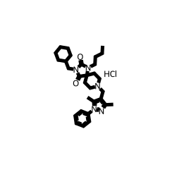 CCCCN1C(=O)N(CC2CCCCC2)C(=O)C12CCN(Cc1c(C)nn(-c3ccccc3)c1C)CC2.Cl